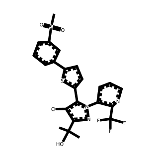 CC(C)(O)c1nn(-c2cccnc2C(F)(F)F)c(-c2ccc(-c3cccc(S(C)(=O)=O)c3)s2)c1Cl